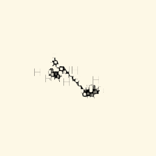 Cn1cc(-c2cc(NC(=O)CCCCC(=O)NCCCCNc3cccc4c3C(=O)N(C3CCC(=O)NC3=O)C4=O)ccc2Oc2ccc(F)cc2F)c2cc[nH]c2c1=O